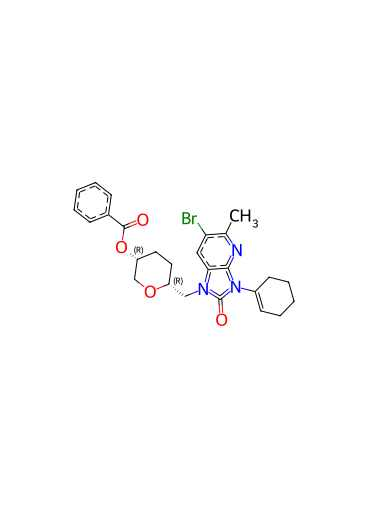 Cc1nc2c(cc1Br)n(C[C@H]1CC[C@@H](OC(=O)c3ccccc3)CO1)c(=O)n2C1=CCCCC1